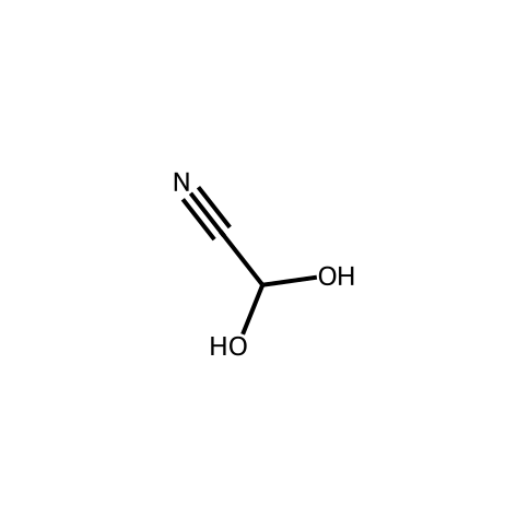 N#CC(O)O